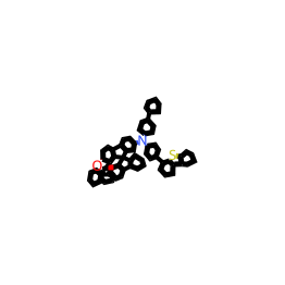 c1ccc(-c2ccc(N(c3ccc(-c4cccc5c4sc4ccccc45)cc3)c3ccc4c(c3)C3(c5ccccc5-c5ccc(-c6ccccc6)cc53)c3c-4ccc4oc5ccccc5c34)cc2)cc1